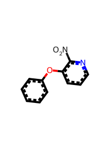 O=[N+]([O-])c1ncccc1Oc1ccccc1